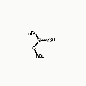 CCCCO[Si](CCCC)CCCC